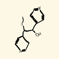 COC(c1ccncc1)C(O)c1ccncc1